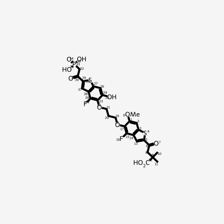 COc1cc2sc(C(=O)CC(C)(C)C(=O)O)cc2c(F)c1OCCCOc1c(O)cc2sc(C(=O)CP(=O)(O)O)cc2c1F